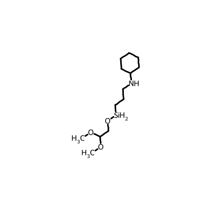 COC(CO[SiH2]CCCNC1CCCCC1)OC